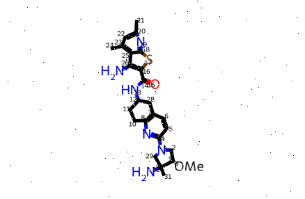 COC1CN(c2ccc3c(n2)CCC(NC(=O)c2sc4nc(C)cc(C)c4c2N)C3)CC1(C)N